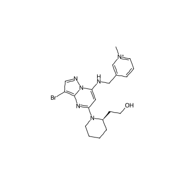 C[n+]1cccc(CNc2cc(N3CCCC[C@@H]3CCO)nc3c(Br)cnn23)c1